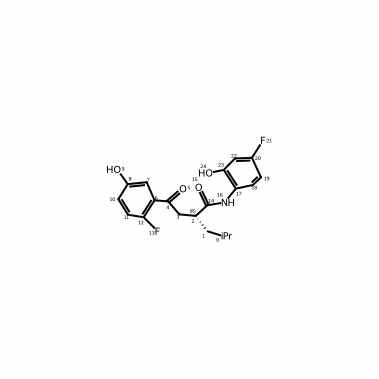 CC(C)C[C@H](CC(=O)c1cc(O)ccc1F)C(=O)Nc1ccc(F)cc1O